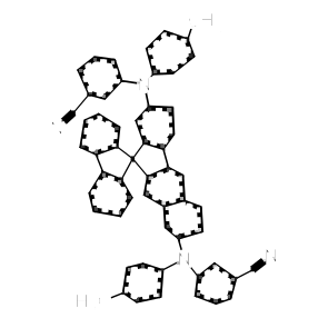 Cc1ccc(N(c2cccc(C#N)c2)c2ccc3c(c2)C2(c4ccccc4-c4ccccc42)c2cc4cc(N(c5ccc(C)cc5)c5cccc(C#N)c5)ccc4cc2-3)cc1